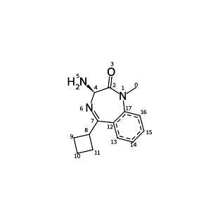 CN1C(=O)[C@H](N)N=C(C2CCC2)c2ccccc21